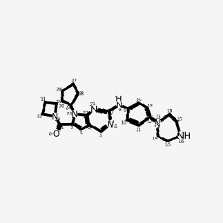 O=C(c1cc2cnc(Nc3ccc(N4CCNCC4)cc3)nc2n1C1CCCC1)N1CCC1